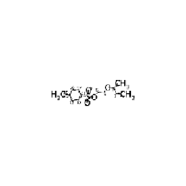 C=CC(C)OCCOS(=O)(=O)c1ccc(C)cc1